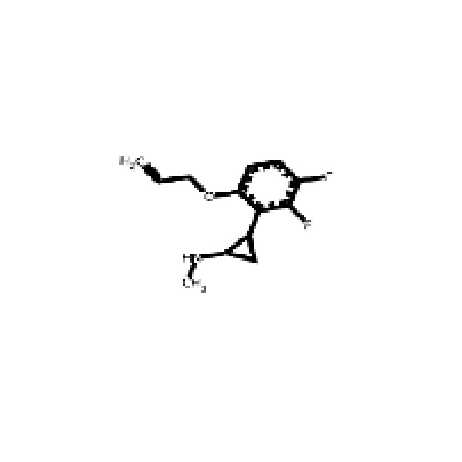 C=CCOc1ccc(F)c(F)c1C1CC1NC